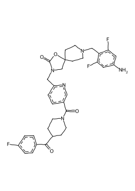 Nc1cc(F)c(CN2CCC3(CC2)CN(Cc2ccc(C(=O)N4CCC(C(=O)c5ccc(F)cc5)CC4)cn2)C(=O)O3)c(F)c1